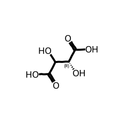 O=C(O)C(O)[C@@H](O)C(=O)O